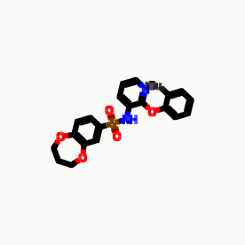 CC(C)(C)c1ccccc1Oc1ncccc1NS(=O)(=O)c1ccc2c(c1)OCCCO2